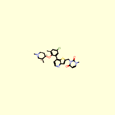 Cc1cc(Cl)cc(-c2ccnc3cc(Cn4c(=O)ccn(C)c4=O)sc23)c1O[C@@H]1CCN(C)C[C@@H]1C